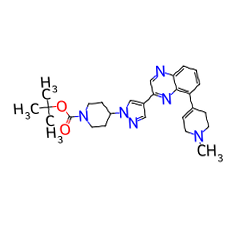 CN1CC=C(c2cccc3ncc(-c4cnn(C5CCN(C(=O)OC(C)(C)C)CC5)c4)nc23)CC1